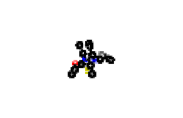 CCC1(c2ccc3c(c2)c2cc(C45CC6CC(CC(C6)C4)C5)cc4c2n3-c2cc3c(sc5ccccc53)c3c2B4N(c2ccc(-c4ccccc4)cc2)c2cc4oc5cc6ccccc6cc5c4cc2-3)CC2CCC(C2)C1